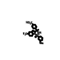 CC(C)(C)c1cccc(S(=O)(=O)n2c(C(C)(O)c3ccc(C(=O)O)cc3)cc3cc(C(F)(F)F)ccc32)c1